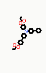 C=CC(=O)Oc1ccc(-c2ccc(N(c3ccc(OC(=O)C=C)cc3)c3ccc(-c4ccccc4)cc3)cc2)cc1